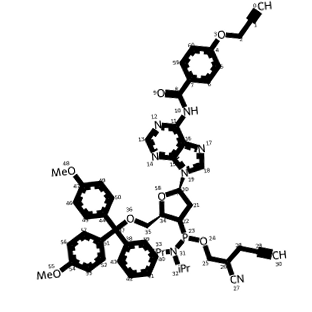 C#CCOc1ccc(C(=O)Nc2ncnc3c2ncn3[C@H]2CC(P(OCC(C#N)CC#C)N(C(C)C)C(C)C)[C@@H](COC(c3ccccc3)(c3ccc(OC)cc3)c3ccc(OC)cc3)O2)cc1